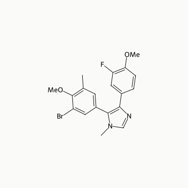 COc1ccc(-c2ncn(C)c2-c2cc(C)c(OC)c(Br)c2)cc1F